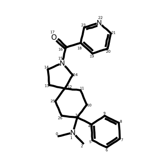 CN(C)C1(c2ccccc2)CCC2(CCN(C(=O)c3cccnc3)C2)CC1